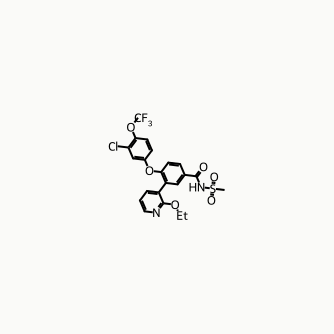 CCOc1ncccc1-c1cc(C(=O)NS(C)(=O)=O)ccc1Oc1ccc(OC(F)(F)F)c(Cl)c1